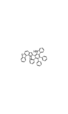 c1ccc(-c2c(-c3ccccc3)c(-c3ccccc3)c3c([nH]c4ccccc43)c2-c2cc3ccc4sc5ccccc5c4c3[nH]2)cc1